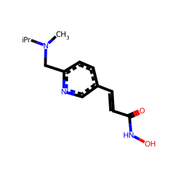 CC(C)N(C)Cc1ccc(/C=C/C(=O)NO)cn1